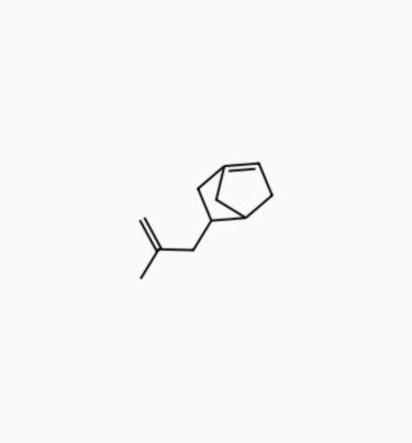 C=C(C)CC1CC2=CCC1C2